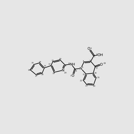 O=C(O)c1cn(C(=O)Nc2ccc(-c3ccccc3)cn2)c2ccccc2c1=O